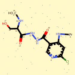 CC(C)Nc1cc(Cl)ncc1C(=O)NNC(=O)C(CO)NC(=O)O